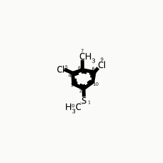 CSc1cc(Cl)c(C)c(Cl)c1